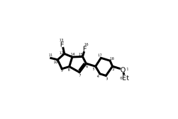 CCOC1CCC(C2=CC3CC(C)C(F)C3C2F)CC1